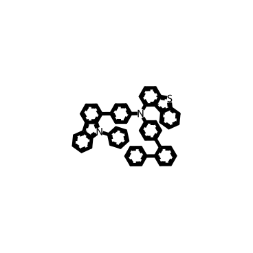 c1ccc(-c2ccccc2-c2ccc(N(c3ccc(-c4cccc5c6ccccc6n(-c6ccccc6)c45)cc3)c3cccc4sc5ccccc5c34)cc2)cc1